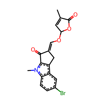 CC1=CC(OC=C2Cc3c(n(C)c4ccc(Br)cc34)C2=O)OC1=O